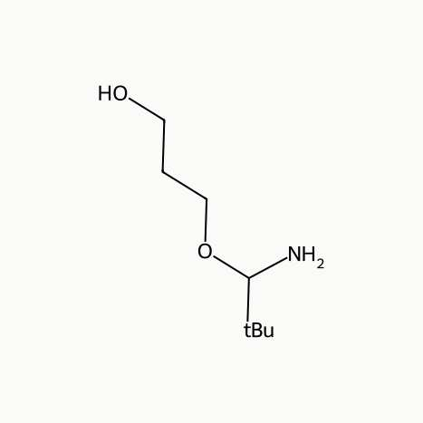 CC(C)(C)C(N)OCCCO